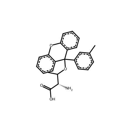 Cc1cccc(C2(OC(C)[C@H](N)C(=O)O)c3ccccc3Oc3ccccc32)c1